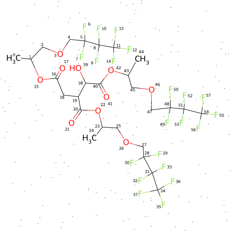 CC(COCC(F)(F)C(F)(F)C(F)(F)F)OC(=O)CC(C(=O)OC(C)COCC(F)(F)C(F)(F)C(F)(F)F)C(O)C(=O)OC(C)COCC(F)(F)C(F)(F)C(F)(F)F